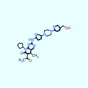 CC(=O)c1c(C)c2cnc(Nc3ccc(N4CCN(c5ccc(CO)cn5)CC4)cn3)nc2n(C2CCCC2)c1=O